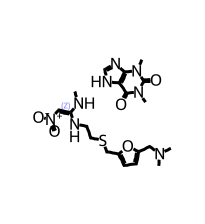 CN/C(=C/[N+](=O)[O-])NCCSCc1ccc(CN(C)C)o1.Cn1c(=O)c2[nH]cnc2n(C)c1=O